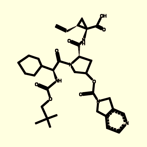 C=C[C@@H]1C[C@]1(NC(=O)[C@@H]1CC(OC(=O)N2Cc3ccncc3C2)CN1C(=O)[C@@H](NC(=O)OCC(C)(C)C)C1CCCCC1)C(=O)O